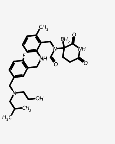 BC1(N(C=O)Cc2c(C)cccc2NCc2cc(CN(CCO)CC(C)C)ccc2F)CCC(=O)NC1=O